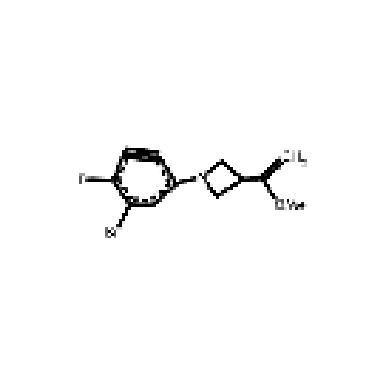 C=C(OC)C1CN(c2c#cc(F)c(Br)c2)C1